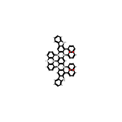 c1ccc(-c2c3c(cc4c2oc2ccccc24)B2c4cccc5c4N4c6c(cccc6B6c7cc8c(oc9ccccc98)c(-c8ccccc8)c7N(c7ccccc7)c7cc(c2c4c76)N3c2ccccc2)S5)cc1